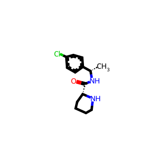 C[C@H](NC(=O)[C@H]1CCCCN1)c1ccc(Cl)cc1